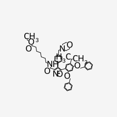 CCOC(=O)CCCCCCNC(=O)c1noc(-c2cc(C(C)C)c(OCc3ccccc3)cc2OCc2ccccc2)c1-c1ccc(CN2CCOCC2)cc1